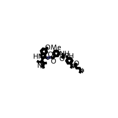 COc1ccc2[nH]c(-c3c(C)nn(C)c3C)c(/C=C3\Oc4ccc(NC(=O)Nc5ccc(N(C)C(=O)CCN(C)C)cc5)cc4C3=O)c2c1